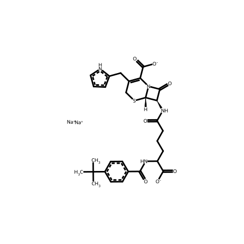 CC(C)(C)c1ccc(C(=O)NC(CCCC(=O)N[C@@H]2C(=O)N3C(C(=O)[O-])=C(Cc4ccc[nH]4)CS[C@@H]23)C(=O)[O-])cc1.[Na+].[Na+]